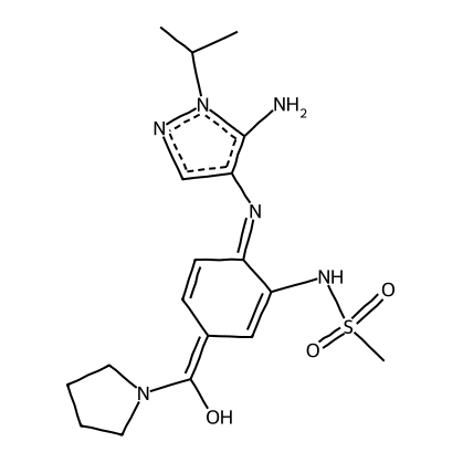 CC(C)n1ncc(N=C2C=CC(=C(O)N3CCCC3)C=C2NS(C)(=O)=O)c1N